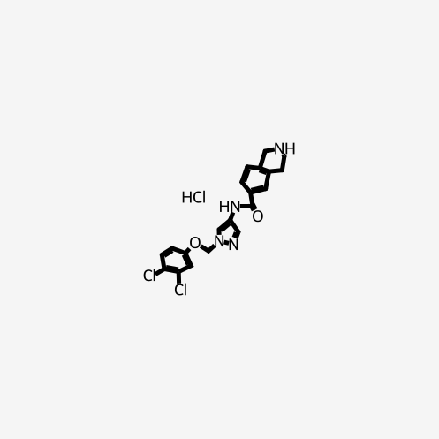 Cl.O=C(Nc1cnn(COc2ccc(Cl)c(Cl)c2)c1)c1ccc2c(c1)CCNC2